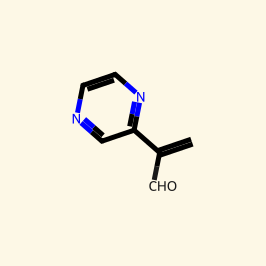 C=C(C=O)c1cnccn1